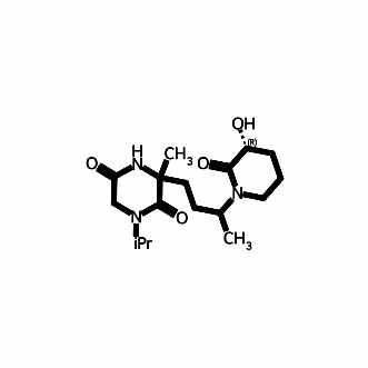 CC(C)N1CC(=O)NC(C)(CCC(C)N2CCC[C@@H](O)C2=O)C1=O